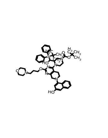 CC(C)(C)OC(=O)N1CCN(c2nc(OCCCN3CCOCC3)nc3c2CCN(c2cc(O)cc4ccccc24)C3)C(C(O)[Si](c2ccccc2)(c2ccccc2)C(C)(C)C)C1